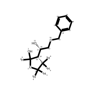 [2H]C1(O)OC([2H])([2H])C([2H])([2H])[C@H]1[C@H](O)COCc1ccccc1